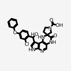 O=C(O)N1CCC2(C1)Nc1c(cnc3[nH]cc(C(O)c4ccc(Oc5ccccc5)cc4Cl)c13)NC2=O